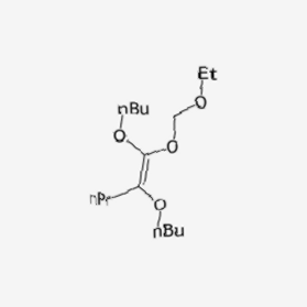 CCCCO/C(CCC)=C(/OCCCC)OCOCC